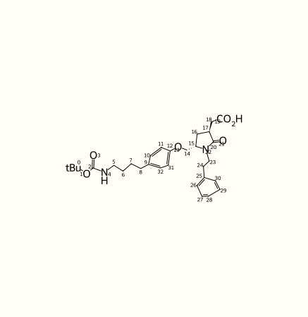 CC(C)(C)OC(=O)NCCCCc1ccc(OC[C@@H]2C[C@@H](CC(=O)O)C(=O)N2CCc2ccccc2)cc1